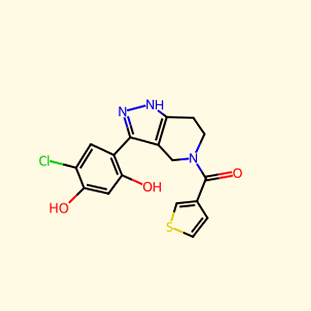 O=C(c1ccsc1)N1CCc2[nH]nc(-c3cc(Cl)c(O)cc3O)c2C1